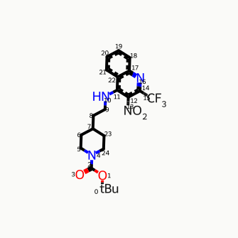 CC(C)(C)OC(=O)N1CCC(CCNc2c([N+](=O)[O-])c(C(F)(F)F)nc3ccccc23)CC1